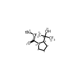 CC(C)(C)OC(=O)N1CCCC1C(O)(C(F)(F)F)C(F)(F)F